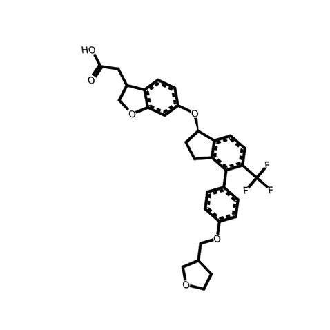 O=C(O)CC1COc2cc(O[C@@H]3CCc4c3ccc(C(F)(F)F)c4-c3ccc(OCC4CCOC4)cc3)ccc21